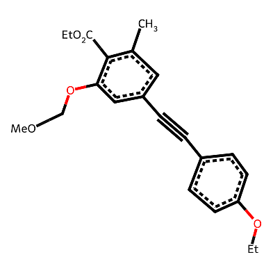 CCOC(=O)c1c(C)cc(C#Cc2ccc(OCC)cc2)cc1OCOC